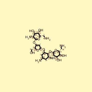 NC[C@@H]1O[C@H](O[C@H]2C[C@H](O[C@@H]3C[C@H](N)C[C@H](N)[C@H]3O[C@@H]3C[C@@H](O)[C@H](O)[C@@H](CN)O3)O[C@@H]2CO)[C@H](N)[C@@H](O)[C@@H]1O